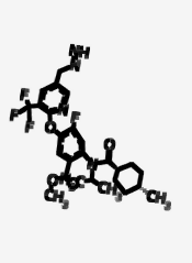 COC(=O)c1cc(Oc2ncc(CN=N)cc2C(F)(F)F)c(F)cc1N(C(=O)[C@H]1CC[C@H](C)CC1)C(C)C